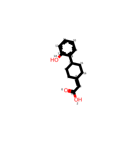 O=C(O)C=C1CCC(c2ccccc2O)CC1